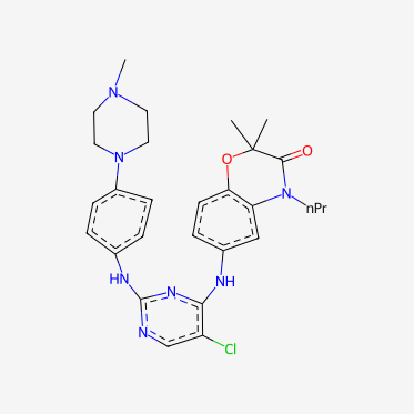 CCCN1C(=O)C(C)(C)Oc2ccc(Nc3nc(Nc4ccc(N5CCN(C)CC5)cc4)ncc3Cl)cc21